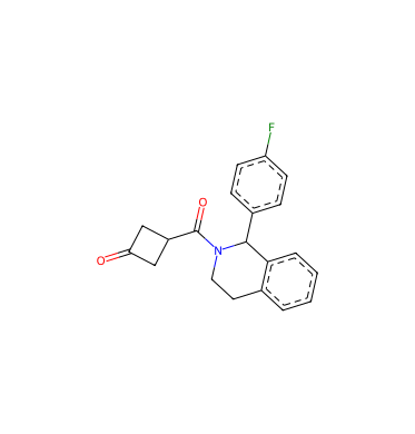 O=C1CC(C(=O)N2CCc3ccccc3C2c2ccc(F)cc2)C1